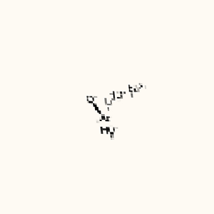 CC(=O)[O-].[Ba+2].[Li+].[OH-].[OH-]